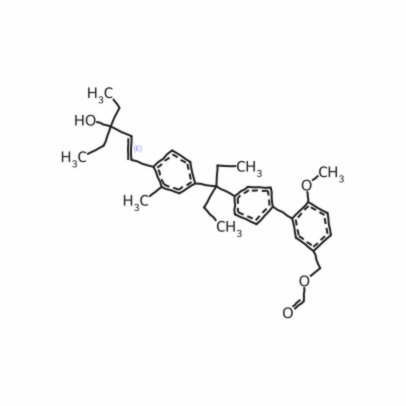 CCC(O)(/C=C/c1ccc(C(CC)(CC)c2ccc(-c3cc(COC=O)ccc3OC)cc2)cc1C)CC